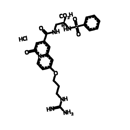 Cl.N=C(N)NCCCOc1ccn2c(=O)cc(C(=O)NC[C@H](NS(=O)(=O)c3ccccc3)C(=O)O)cc2c1